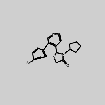 O=C1CSC(c2ccncc2-c2ccc(Br)cc2)N1C1CCCC1